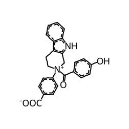 O=C([O-])c1ccc([N+]2(C(=O)c3ccc(O)cc3)CCc3c([nH]c4ccccc34)C2)cc1